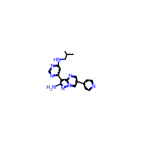 CC(C)CNc1cc(-c2c(N)nn3cc(-c4ccncc4)cnc23)ncn1